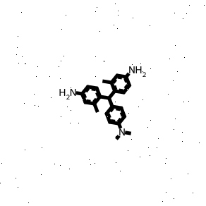 Cc1cc(N)ccc1C(c1ccc(N(C)C)cc1)c1ccc(N)cc1C